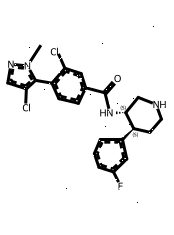 Cn1ncc(Cl)c1-c1ccc(C(=O)N[C@@H]2CNCC[C@H]2c2cccc(F)c2)cc1Cl